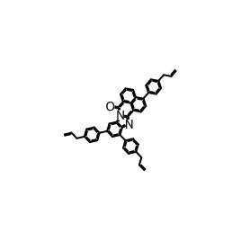 C=CCc1ccc(-c2cc(-c3ccc(CC=C)cc3)c3nc4c5ccc(-c6ccc(CC=C)cc6)c6cccc(c(=O)n4c3c2)c65)cc1